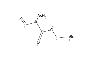 C=C[C]([AsH2])C(=O)OCCCCC